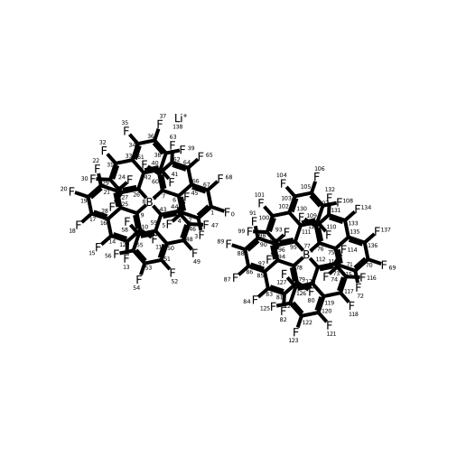 Fc1c(F)c(F)c2c([B-](c3c(F)c(F)c(F)c4c(F)c(F)c(F)c(F)c34)(c3c(F)c(F)c(F)c4c(F)c(F)c(F)c(F)c34)c3c(F)c(F)c(F)c4c(F)c(F)c(F)c(F)c34)c(F)c(F)c(F)c2c1F.Fc1c(F)c(F)c2c([B-](c3c(F)c(F)c(F)c4c(F)c(F)c(F)c(F)c34)(c3c(F)c(F)c(F)c4c(F)c(F)c(F)c(F)c34)c3c(F)c(F)c(F)c4c(F)c(F)c(F)c(F)c34)c(F)c(F)c(F)c2c1F.[Li+]